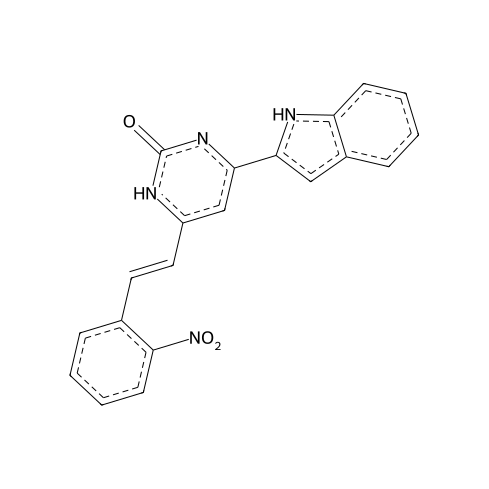 O=c1nc(-c2cc3ccccc3[nH]2)cc(C=Cc2ccccc2[N+](=O)[O-])[nH]1